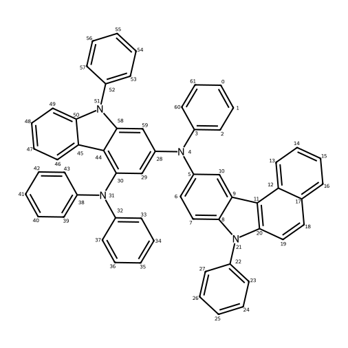 c1ccc(N(c2ccc3c(c2)c2c4ccccc4ccc2n3-c2ccccc2)c2cc(N(c3ccccc3)c3ccccc3)c3c4ccccc4n(-c4ccccc4)c3c2)cc1